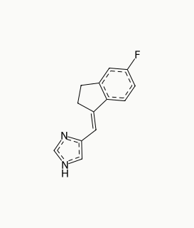 Fc1ccc2c(c1)CC/C2=C\c1c[nH]cn1